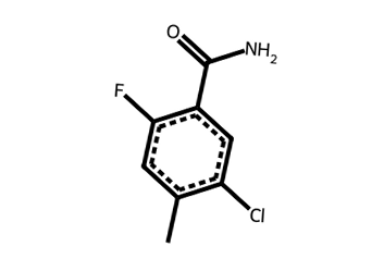 Cc1cc(F)c(C(N)=O)cc1Cl